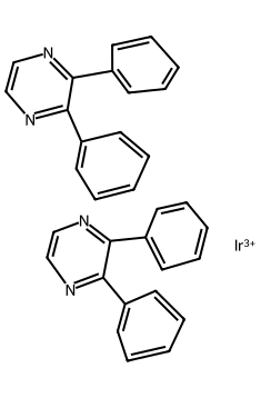 [Ir+3].c1ccc(-c2nccnc2-c2ccccc2)cc1.c1ccc(-c2nccnc2-c2ccccc2)cc1